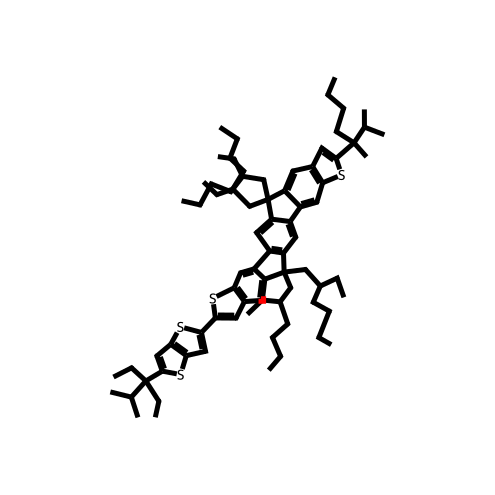 CCCCC(CC)CC1(CC(CC)CCCC)c2cc3c(cc2-c2cc4sc(-c5cc6sc(C(CC)(CC)C(C)C)cc6s5)cc4cc21)C(CC(CC)CCCC)(CC(CC)CCCC)c1cc2cc(C(C)(CCCC)C(C)C)sc2cc1-3